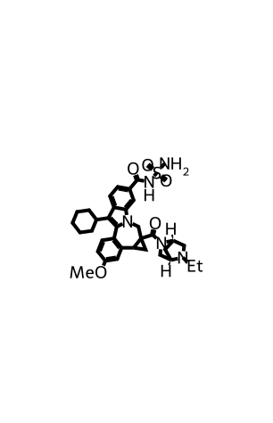 CCN1C[C@H]2C[C@@H]1CN2C(=O)C12CC1c1cc(OC)ccc1-c1c(C3CCCCC3)c3ccc(C(=O)NS(N)(=O)=O)cc3n1C2